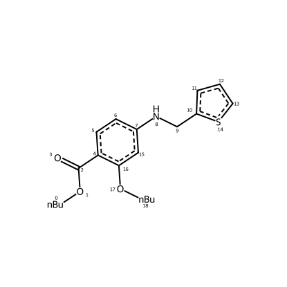 CCCCOC(=O)c1ccc(NCc2cccs2)cc1OCCCC